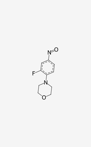 O=Nc1ccc(N2CCOCC2)c(F)c1